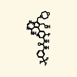 Nc1ncnn2c(CN3CCOCC3)c(CO)c(-c3ccc(NC(=O)Nc4cccc(C(F)(F)F)c4)c(F)c3)c12